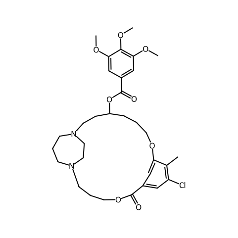 COc1cc(C(=O)OC2CCCOc3cc(cc(Cl)c3C)C(=O)OCCCN3CCCN(CC2)CC3)cc(OC)c1OC